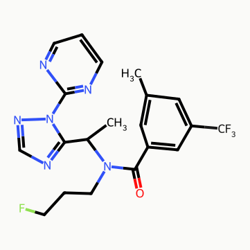 Cc1cc(C(=O)N(CCCF)C(C)c2ncnn2-c2ncccn2)cc(C(F)(F)F)c1